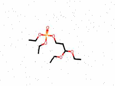 CCOC(CCOP(=O)(OCC)OCC)OCC